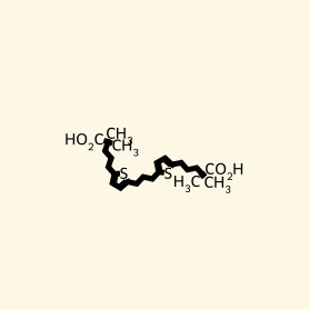 CC(C)(CCCc1ccc(CCCc2ccc(CCCC(C)(C)C(=O)O)s2)s1)C(=O)O